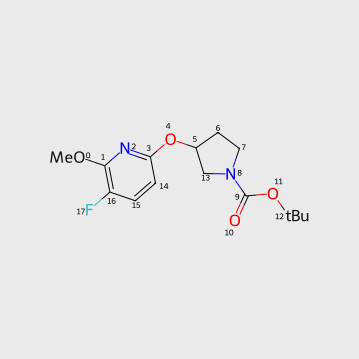 COc1nc(OC2CCN(C(=O)OC(C)(C)C)C2)ccc1F